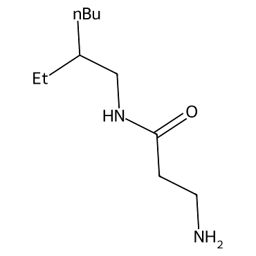 CCCCC(CC)CNC(=O)CCN